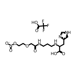 O=C(COCCO[N+](=O)[O-])NCCCNC(Cc1c[nH]cn1)C(=O)O.O=C(O)C(F)(F)F